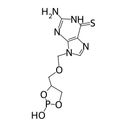 Nc1nc2c(ncn2COCC2COP(O)O2)c(=S)[nH]1